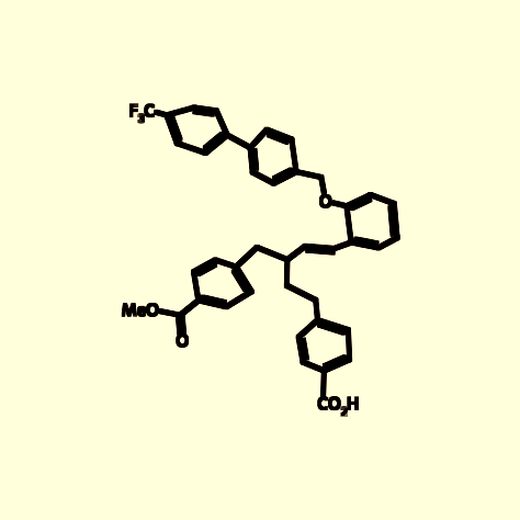 COC(=O)c1ccc(CC(C=Cc2ccccc2OCc2ccc(-c3ccc(C(F)(F)F)cc3)cc2)CCc2ccc(C(=O)O)cc2)cc1